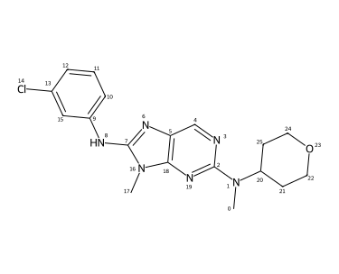 CN(c1ncc2nc(Nc3cccc(Cl)c3)n(C)c2n1)C1CCOCC1